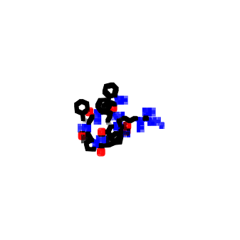 CC(=O)N[C@@H](CCc1ccccc1)C(=O)C12CCCC13CNC(=O)[C@H](CCCNC(=N)N)NC(=O)[C@H](Cc1c[nH]c4ccccc14)NC(=O)[C@@H](CC1CCCCC1)NC(=O)[C@@H]1CCCN1C(=O)[C@H]3N2